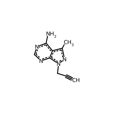 C#CCn1nc(C)c2c(N)ncnc21